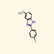 Cc1ccc2[nH]c(-c3ccc(I)cc3)nc2c1